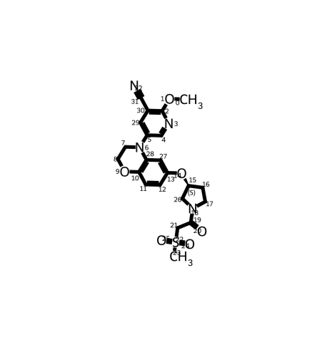 COc1ncc(N2CCOc3ccc(O[C@H]4CCN(C(=O)CS(C)(=O)=O)C4)cc32)cc1C#N